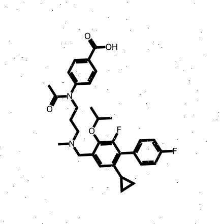 CC(=O)N(CCCN(C)Cc1cc(C2CC2)c(-c2ccc(F)cc2)c(F)c1OC(C)C)c1ccc(C(=O)O)cc1